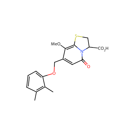 COc1c(COc2cccc(C)c2C)cc(=O)n2c1SCC2C(=O)O